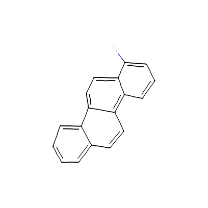 Nc1cccc2c1ccc1c3ccccc3ccc21